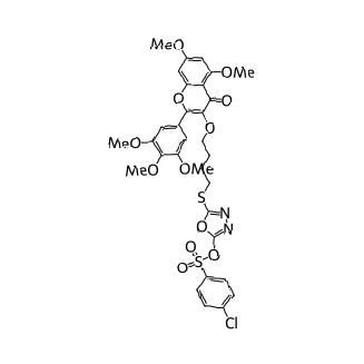 COc1cc(OC)c2c(=O)c(OCCCCSc3nnc(OS(=O)(=O)c4ccc(Cl)cc4)o3)c(-c3cc(OC)c(OC)c(OC)c3)oc2c1